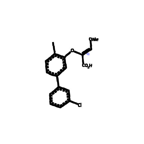 CO/C=C(\Oc1cc(-c2cccc(Cl)c2)ccc1C)C(=O)O